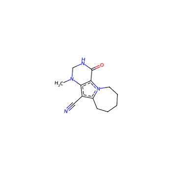 CN1CNC(=O)c2c1c(C#N)c1n2CCCCC1